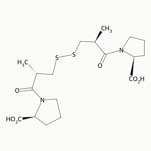 C[C@H](CSSC[C@@H](C)C(=O)N1CCC[C@H]1C(=O)O)C(=O)N1CCC[C@H]1C(=O)O